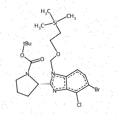 CC(C)(C)OC(=O)N1CCC[C@H]1c1nc2c(Cl)c(Br)ccc2n1COCC[Si](C)(C)C